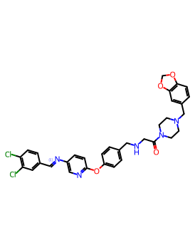 O=C(CNCc1ccc(Oc2ccc(/N=C/c3ccc(Cl)c(Cl)c3)cn2)cc1)N1CCN(Cc2ccc3c(c2)OCO3)CC1